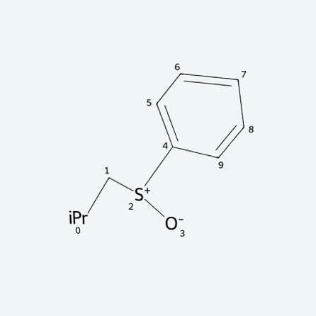 [CH2]C(C)C[S+]([O-])c1ccccc1